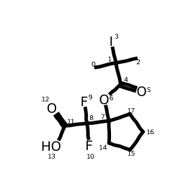 CC(C)(I)C(=O)OC1(C(F)(F)C(=O)O)CCCC1